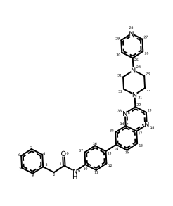 O=C(Cc1ccccc1)Nc1ccc(-c2ccc3ncc(N4CCN(c5ccncc5)CC4)nc3c2)cc1